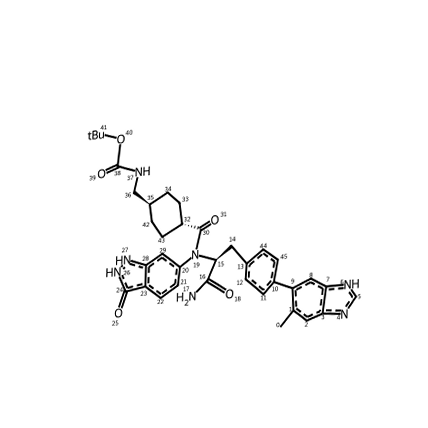 Cc1cc2nc[nH]c2cc1-c1ccc(C[C@@H](C(N)=O)N(c2ccc3c(=O)[nH][nH]c3c2)C(=O)[C@H]2CC[C@H](CNC(=O)OC(C)(C)C)CC2)cc1